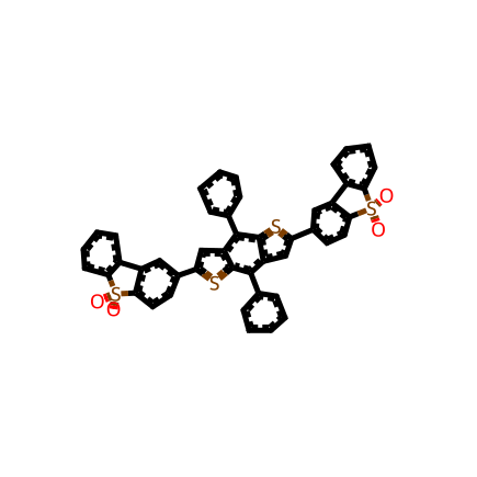 O=S1(=O)c2ccccc2-c2cc(-c3cc4c(-c5ccccc5)c5sc(-c6ccc7c(c6)-c6ccccc6S7(=O)=O)cc5c(-c5ccccc5)c4s3)ccc21